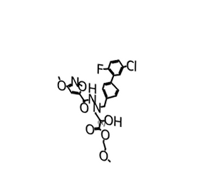 COCCOC(=O)[C@H](O)CN(Cc1ccc(-c2cc(Cl)ccc2F)cc1)NC(=O)c1cc(OC)no1